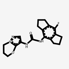 O=C(Nc1cnn2c1OCCC2)Nc1c2c(c(F)c3c1CCC3)CCC2